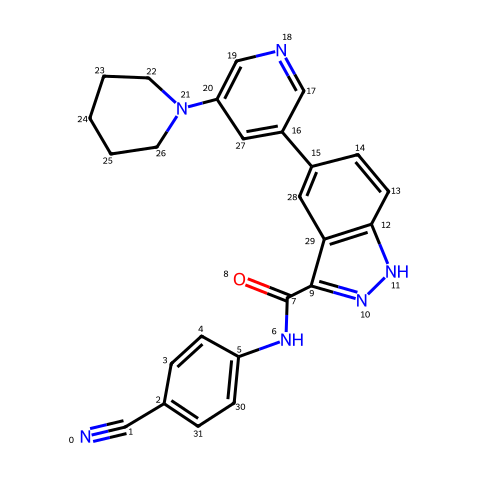 N#Cc1ccc(NC(=O)c2n[nH]c3ccc(-c4cncc(N5CCCCC5)c4)cc23)cc1